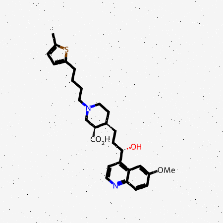 COc1ccc2nccc([C@@H](O)CC[C@@H]3CCN(CCCCc4ccc(C)s4)C[C@@H]3C(=O)O)c2c1